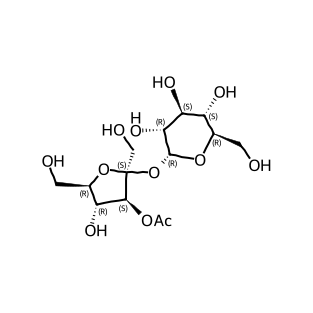 CC(=O)O[C@H]1[C@H](O)[C@@H](CO)O[C@@]1(CO)O[C@H]1O[C@H](CO)[C@@H](O)[C@H](O)[C@H]1O